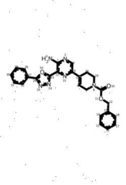 Nc1ncc(C2=CCN(C(=O)OCc3ccccc3)CC2)nc1-c1nnc(-c2ccccc2)o1